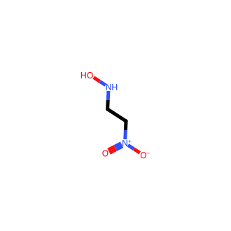 O=[N+]([O-])CCNO